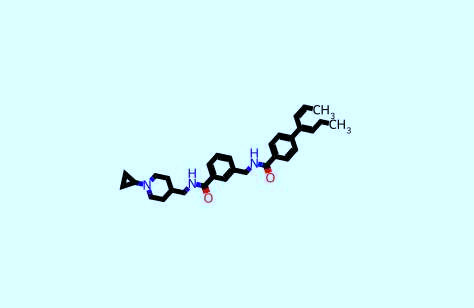 C/C=C\C(=C/CC)c1ccc(C(=O)NCc2cccc(C(=O)NCC3CCN(C4CC4)CC3)c2)cc1